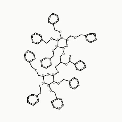 O=C(OC(CO[C@@H]1O[C@H](COCc2ccccc2)[C@@H](OCc2ccccc2)[C@H](OCc2ccccc2)[C@@H]1OCc1ccccc1)CO[C@@H]1O[C@H](COCc2ccccc2)[C@@H](OCc2ccccc2)[C@H](OCc2ccccc2)[C@@H]1OCc1ccccc1)c1ccccc1